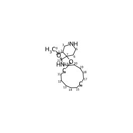 CCC1CNCCC12OC1(CCCCCCCCCCC1)NC2=O